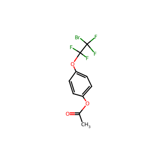 CC(=O)Oc1ccc(OC(F)(F)C(F)(F)Br)cc1